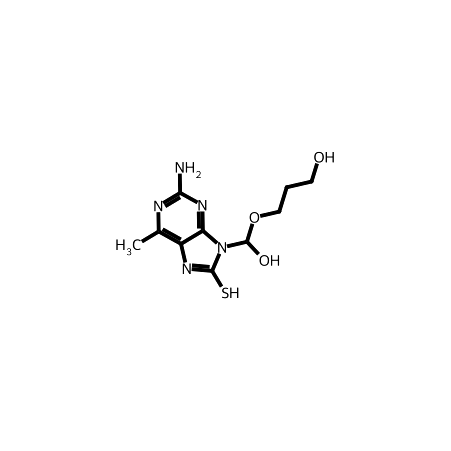 Cc1nc(N)nc2c1nc(S)n2C(O)OCCCO